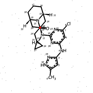 Cc1cc(Nc2cc(Cl)nc(N(C)[C@@H]3C[C@H]4CCC[C@@H](C3)N4C(=O)CC3CC3)n2)n[nH]1